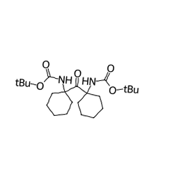 CC(C)(C)OC(=O)NC1(C(=O)C2(NC(=O)OC(C)(C)C)CCCCC2)CCCCC1